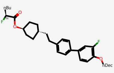 CCCCCCCCCCOc1ccc(-c2ccc(CC[C@H]3CC[C@H](OC(=O)[C@@H](F)CCCC)CC3)cc2)cc1F